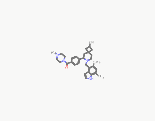 COc1cc(C)c2[nH]ccc2c1CN1CCC2(CC(C#N)C2)CC1c1ccc(C(=O)N2CCN(C(C)C)CC2)cc1